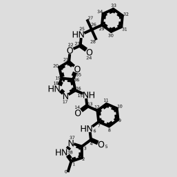 Cc1cc(C(=O)Nc2ccccc2C(=O)Nc2n[nH]c3cc(OC(=O)NC(C)(C)c4ccccc4)oc23)n[nH]1